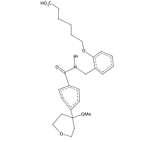 COC1(c2ccc(C(=O)N(Cc3ccccc3OCCCCCC(=O)O)C(C)C)cc2)CCOCC1